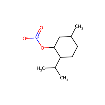 CC1CCC(C(C)C)C(O[N+](=O)[O-])C1